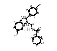 Cc1ccc(-c2nc3ccc(C)cn3c2CNC(=O)c2cnccn2)cc1